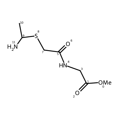 COC(=O)CNC(=O)CSC(C)N